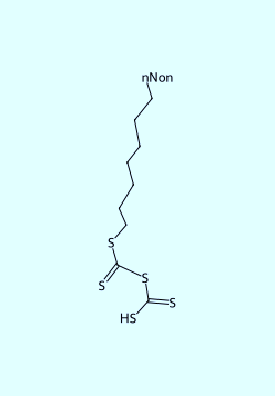 CCCCCCCCCCCCCCCCSC(=S)SC(=S)S